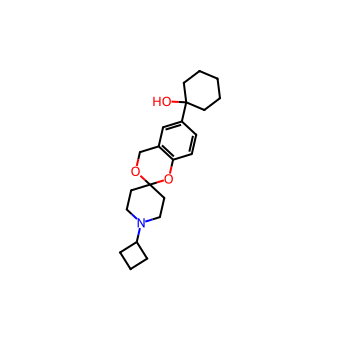 OC1(c2ccc3c(c2)COC2(CCN(C4CCC4)CC2)O3)CCCCC1